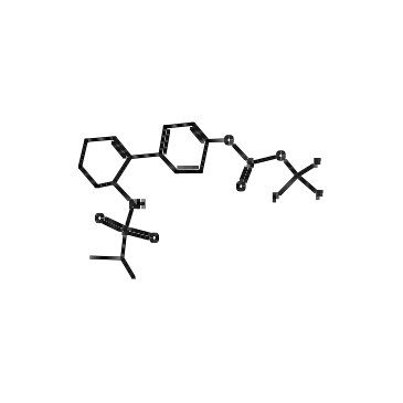 CC(C)S(=O)(=O)NC1CCCC=C1c1ccc(OS(=O)OC(F)(F)F)cc1